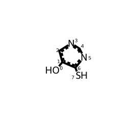 Oc1cncnc1S